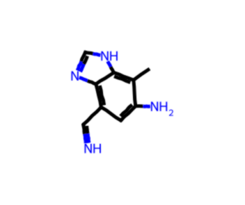 Cc1c(N)cc(C=N)c2nc[nH]c12